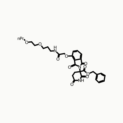 CCCOCCOCCCNC(=O)COc1cccc2c1C(=O)N(C1(C(=O)OCc3ccccc3)CCC(=O)NC1=O)C2=O